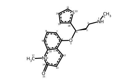 CNCC[C@@H](Oc1cccc2c1ccc(=O)n2C)c1cccs1